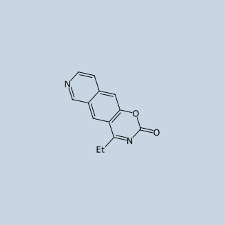 CCc1nc(=O)oc2cc3ccncc3cc12